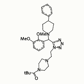 COc1cccc(C(c2nnnn2CCN2CCN(C(=O)C(C)(C)C)CC2)N2CCC(c3ccccc3)CC2)c1OC